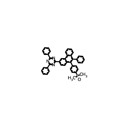 CP(C)(=O)c1ccc(-c2c(-c3ccccc3)c3ccccc3c3cc(-c4nc(-c5ccccc5)nc(-c5ccccc5)n4)ccc23)cc1